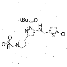 CC(C)(C)C(=O)n1nc(C2CCN(C[SH](=O)=O)C2)cc1NCc1ccc(Cl)s1